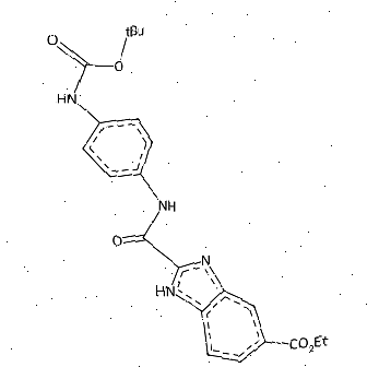 CCOC(=O)c1ccc2[nH]c(C(=O)Nc3ccc(NC(=O)OC(C)(C)C)cc3)nc2c1